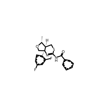 C[C@H]1OC[C@]2(c3ccc(F)cc3F)N=C(NC(=O)c3ccccc3)SC[C@H]12